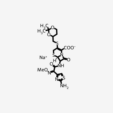 CO/N=C(\C(=O)NC1C(=O)N2C(C(=O)[O-])=C(SCC3CCOC(C)(C)O3)CS[C@H]12)c1csc(N)n1.[Na+]